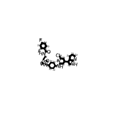 O=C(NCCS(=O)(=O)NC1CCC(Nc2cc(-c3c[nH]c4ncccc34)cc(Cl)n2)CC1)c1ccc(F)cc1F